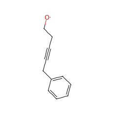 [O]CCC#CCc1ccccc1